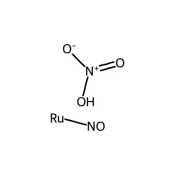 O=[N+]([O-])O.O=[N][Ru]